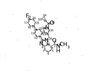 CNC(=O)c1cccc2nc(-c3ccc(-c4ccc(F)cc4)cc3)n(Cc3ccn(C(=O)C4CC4)c3)c12